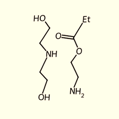 CCC(=O)OCCN.OCCNCCO